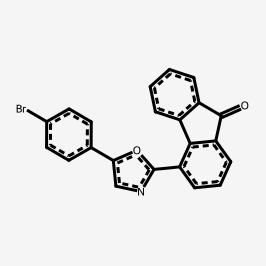 O=C1c2ccccc2-c2c1cccc2-c1ncc(-c2ccc(Br)cc2)o1